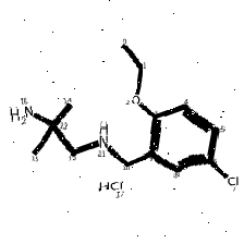 CCOc1ccc(Cl)cc1CNCC(C)(C)N.Cl